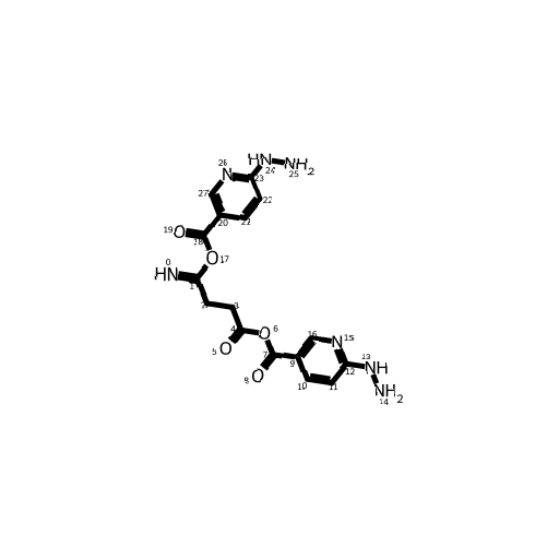 N=C(CCC(=O)OC(=O)c1ccc(NN)nc1)OC(=O)c1ccc(NN)nc1